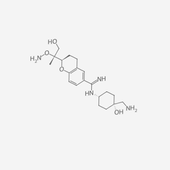 C[C@](CO)(ON)[C@H]1CCc2cc(C(=N)N[C@H]3CC[C@](O)(CN)CC3)ccc2O1